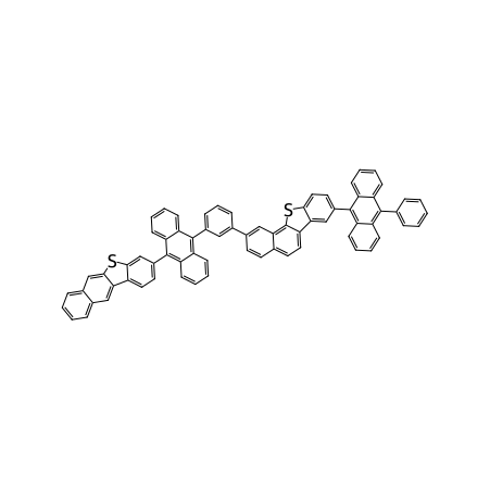 c1ccc(-c2c3ccccc3c(-c3ccc4sc5c6cc(-c7cccc(-c8c9ccccc9c(-c9ccc%10c(c9)sc9cc%11ccccc%11cc9%10)c9ccccc89)c7)ccc6ccc5c4c3)c3ccccc23)cc1